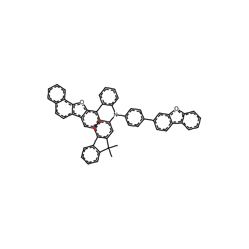 CC1(C)c2ccccc2-c2ccc(N(c3ccc(-c4ccc5c(c4)oc4ccccc45)cc3)c3ccccc3-c3cccc4c3oc3c5ccccc5ccc43)cc21